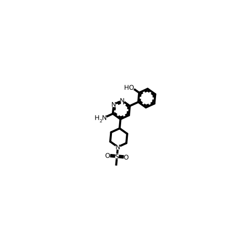 CS(=O)(=O)N1CCC(c2cc(-c3ccccc3O)nnc2N)CC1